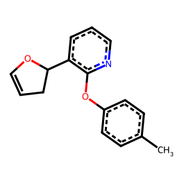 Cc1ccc(Oc2ncccc2C2CC=CO2)cc1